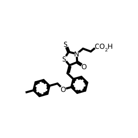 Cc1ccc(COc2ccccc2/C=C2/SC(=S)N(CCC(=O)O)C2=O)cc1